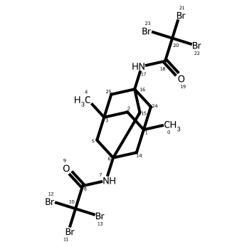 CC12CC3(C)CC(NC(=O)C(Br)(Br)Br)(C1)CC(NC(=O)C(Br)(Br)Br)(C2)C3